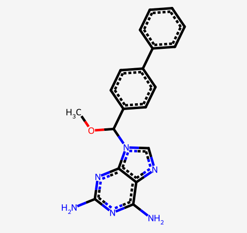 COC(c1ccc(-c2ccccc2)cc1)n1cnc2c(N)nc(N)nc21